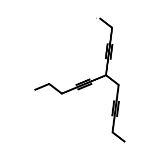 [CH2]CC#CC(C#CCCC)CC#CCC